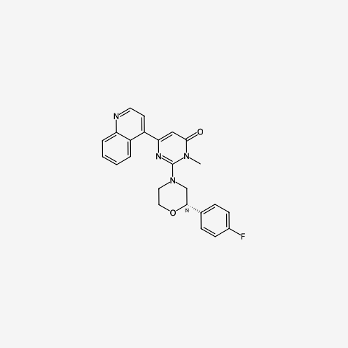 Cn1c(N2CCO[C@@H](c3ccc(F)cc3)C2)nc(-c2ccnc3ccccc23)cc1=O